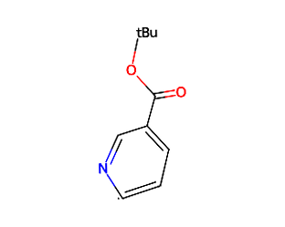 CC(C)(C)OC(=O)c1cc[c]nc1